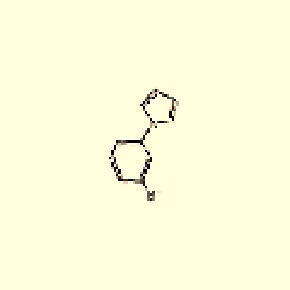 Brc1cccc(-n2ccnc2)c1